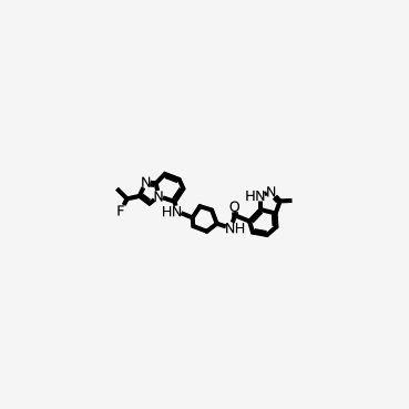 Cc1n[nH]c2c(C(=O)NC3CCC(Nc4cccc5nc(C(C)F)cn45)CC3)cccc12